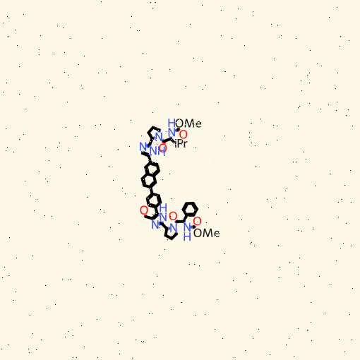 COC(=O)NC(C(=O)N1CCCC1c1nc2c([nH]1)-c1ccc(-c3ccc4cc(-c5cnc(C6CCCN6C(=O)C(NC(=O)OC)C(C)C)[nH]5)ccc4c3)cc1OC2)c1ccccc1